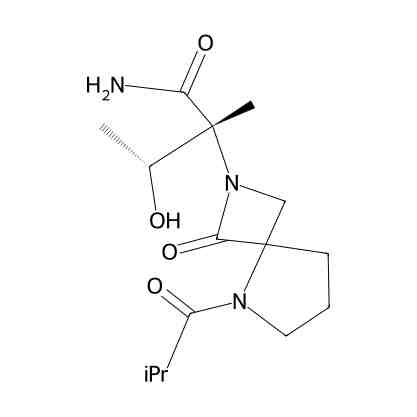 CC(C)C(=O)N1CCCC12CN([C@@](C)(C(N)=O)[C@@H](C)O)C2=O